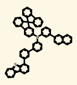 c1cc(-c2cccc(N(c3cccc(-c4ccc5ccccc5c4)c3)c3ccc4c(c3)C3(c5ccccc5-c5ccccc53)c3ccccc3-4)c2)cc(-c2cccc3c2sc2ccccc23)c1